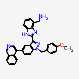 COc1ccc(Cn2nc(-c3nc4c(CN)cccc4[nH]3)c3cc(-c4cncc5ccccc45)ccc32)cc1